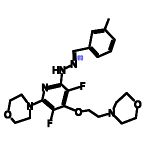 Cc1cccc(/C=N/Nc2nc(N3CCOCC3)c(F)c(OCCN3CCOCC3)c2F)c1